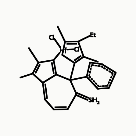 CCC1=C(C)CC(C2(c3ccccc3)C(=[SiH2])C=CC=C3C(C)=C(C)[C]([Hf]([Cl])[Cl])=C32)=C1C